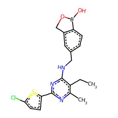 CCc1c(C)nc(-c2ccc(Cl)s2)nc1NCc1ccc2c(c1)COB2O